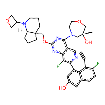 C#Cc1c(F)ccc2cc(O)cc(-c3ncc4c(N5CCOC[C@](C)(O)C5)nc(OC[C@]56CCC[C@H]5N(C5COC5)CCC6)nc4c3F)c12